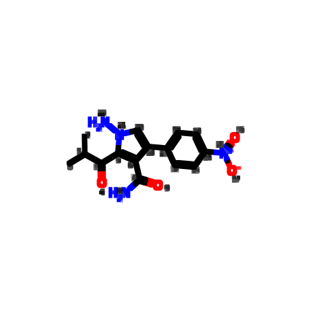 CC(C)C(=O)c1c(C(N)=O)c(-c2ccc([N+](=O)[O-])cc2)cn1N